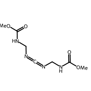 COC(=O)NCN=C=NCNC(=O)OC